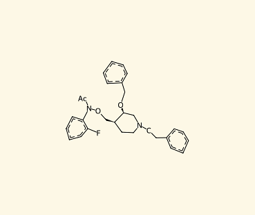 CC(=O)N(OC[C@@H]1CCN(CCc2ccccc2)C[C@@H]1OCc1ccccc1)c1ccccc1F